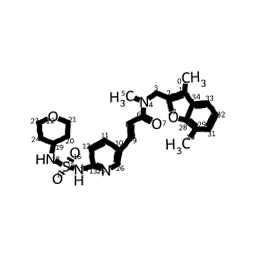 Cc1c(CN(C)C(=O)/C=C/c2ccc(NS(=O)(=O)NC3CCOCC3)nc2)oc2c(C)cccc12